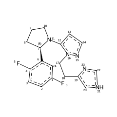 Fc1ccc(F)c([C@H]2CCCN2c2ccnn2CCc2c[nH]cn2)c1